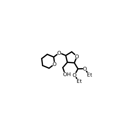 CCOC(OCC)C1OCC(OC2CCCCO2)C1CO